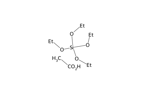 CC(=O)O.CCO[Si](OCC)(OCC)OCC